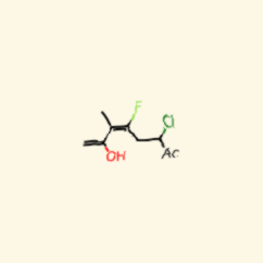 C=C(O)/C(C)=C(/F)CC(Cl)C(C)=O